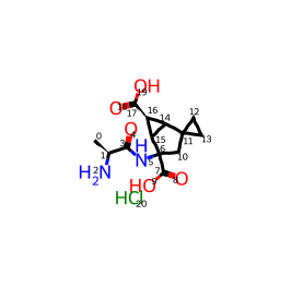 C[C@H](N)C(=O)NC1(C(=O)O)CC2(CC2)C2C1[C@H]2C(=O)O.Cl